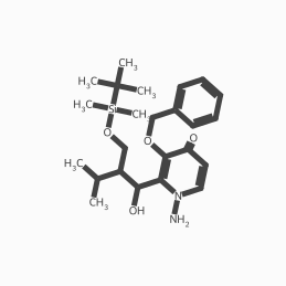 CC(C)C(CO[Si](C)(C)C(C)(C)C)C(O)c1c(OCc2ccccc2)c(=O)ccn1N